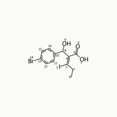 CCC(I)=C(C(=O)O)C(O)c1ccc(Br)cc1